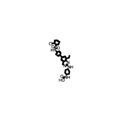 CCc1cc(-c2ccc(NS(=O)(=O)c3ccccc3Cl)cc2)cc2cnc(N[C@H]3CC[C@H](NC(=O)O)CC3)nc12